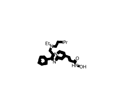 CCN(CCC(C)C)Cc1c(-c2ccccc2)nc2cc(C=CC(=O)NO)ccn12